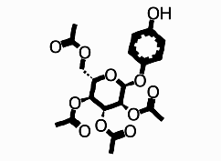 CC(=O)OC[C@@H]1O[C@@H](Oc2ccc(O)cc2)[C@@H](OC(C)=O)[C@H](OC(C)=O)[C@H]1OC(C)=O